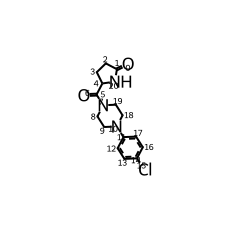 O=C1CCC(C(=O)N2CCN(c3ccc(Cl)cc3)CC2)N1